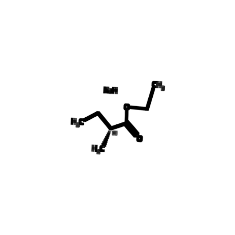 CCOC(=O)[C@H](C)CC.[NaH]